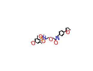 COc1cc(C)c(S(=O)(=O)N(C)CCOCC(=O)N(C)Cc2ccc(C3=CCCO3)cc2)c(C)c1